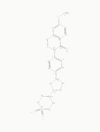 CCCCOc1ccc2c(c1)CCN(c1ccc(N3CCC(N4CCS(=O)(=O)CC4)C3)cc1)C2=O